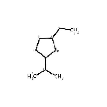 CCC1CCC(C(C)C)C1